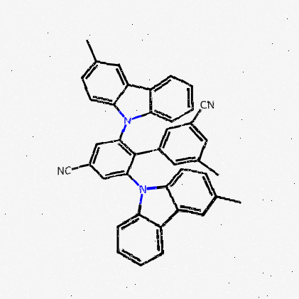 Cc1cc(C#N)cc(-c2c(-n3c4ccccc4c4cc(C)ccc43)cc(C#N)cc2-n2c3ccccc3c3cc(C)ccc32)c1